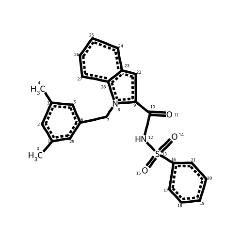 Cc1cc(C)cc(Cn2c(C(=O)NS(=O)(=O)c3ccccc3)cc3ccccc32)c1